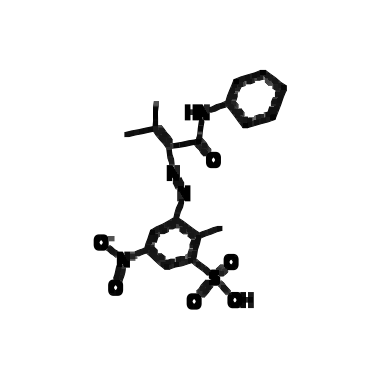 CC(C)=C(/N=N/c1cc([N+](=O)[O-])cc(S(=O)(=O)O)c1C)C(=O)Nc1ccccc1